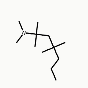 CCCC(C)(C)CC(C)(C)N(C)C